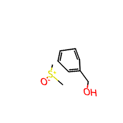 C[S+](C)[O-].OCc1ccccc1